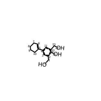 OCc1cc(C2=CCCCC2)cc(CO)c1O